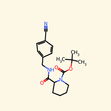 CC(C)(C)OC(=O)N1CCCCC1C(=O)NCc1ccc(C#N)cc1